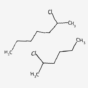 CCCCC(C)Cl.CCCCCC(C)Cl